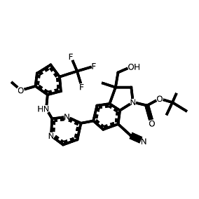 COc1ccc(C(F)(F)F)cc1Nc1nccc(-c2cc(C#N)c3c(c2)C(C)(CO)CN3C(=O)OC(C)(C)C)n1